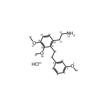 COc1cccc(CCc2c(CCN)ccc(OC)c2OC)c1.Cl